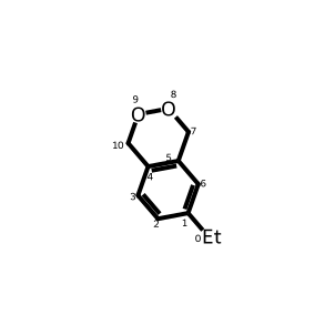 CCc1ccc2c(c1)COOC2